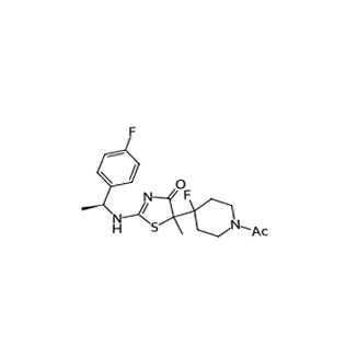 CC(=O)N1CCC(F)(C2(C)SC(N[C@@H](C)c3ccc(F)cc3)=NC2=O)CC1